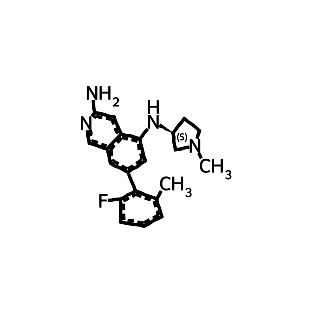 Cc1cccc(F)c1-c1cc(N[C@H]2CCN(C)C2)c2cc(N)ncc2c1